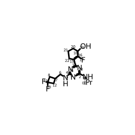 CC(C)Nc1nc(NCC2CC(F)(F)C2)nc(C2=C(F)C(O)CCC2)n1